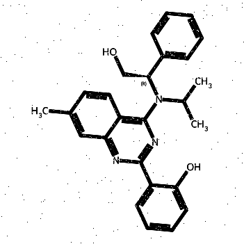 Cc1ccc2c(N(C(C)C)[C@@H](CO)c3ccccc3)nc(-c3ccccc3O)nc2c1